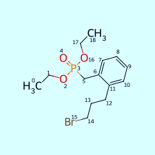 CCOP(=O)(Cc1ccccc1CCCBr)OCC